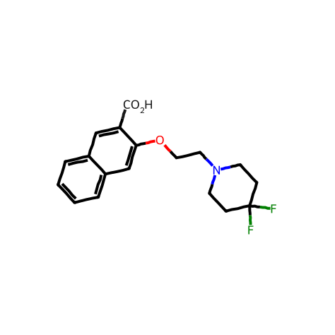 O=C(O)c1cc2ccccc2cc1OCCN1CCC(F)(F)CC1